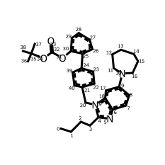 CCCCc1nc2ccc(N3CCCCCC3)cc2n1Cc1ccc(-c2ccccc2OC(=O)OC(C)(C)C)cc1